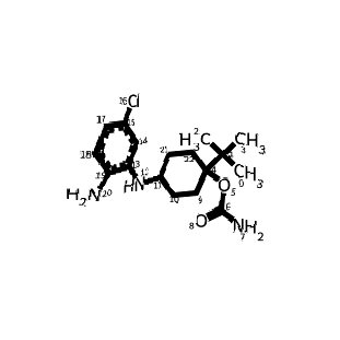 CC(C)(C)C1(OC(N)=O)CCC(Nc2cc(Cl)ccc2N)CC1